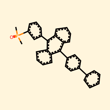 CP(C)(=O)c1cccc(-c2c3ccccc3c(-c3ccc(-c4ccccc4)cc3)c3ccccc23)c1